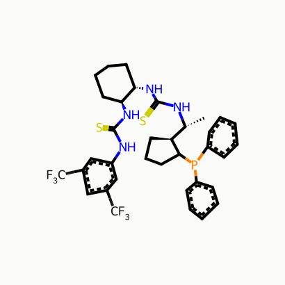 C[C@@H](NC(=S)N[C@H]1CCCC[C@@H]1NC(=S)Nc1cc(C(F)(F)F)cc(C(F)(F)F)c1)[C@@H]1CCCC1P(c1ccccc1)c1ccccc1